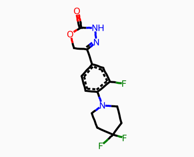 O=C1NN=C(c2ccc(N3CCC(F)(F)CC3)c(F)c2)CO1